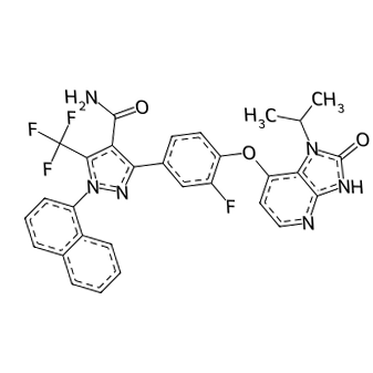 CC(C)n1c(=O)[nH]c2nccc(Oc3ccc(-c4nn(-c5cccc6ccccc56)c(C(F)(F)F)c4C(N)=O)cc3F)c21